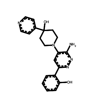 Nc1nnc(-c2ccccc2O)cc1N1CCC(O)(c2ccncc2)CC1